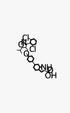 CC(C)C1ON=C(c2c(Cl)cccc2Cl)C1COc1ccc(-c2ccc3cc(C(=O)O)[nH]c3c2)cc1